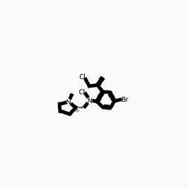 C=C(CCl)c1cc(Br)ccc1N(Cl)C[C@@H]1CCCN1C